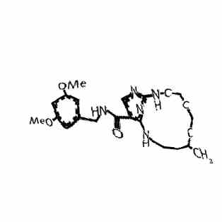 COc1cc(CNC(=O)c2cnc3nc2NCCCC(C)CCCCCN3)cc(OC)c1